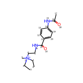 CC[N+](C)(CC)CCNC(=O)c1ccc(NC(C)=O)cc1